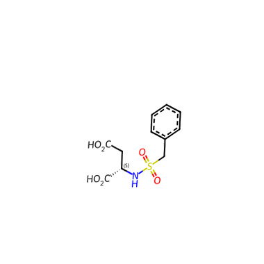 O=C(O)C[C@H](NS(=O)(=O)Cc1ccccc1)C(=O)O